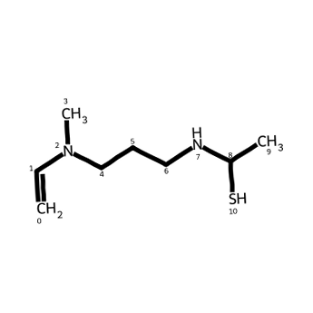 C=CN(C)CCCNC(C)S